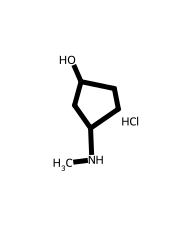 CNC1CCC(O)C1.Cl